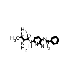 CC(C)[C@H](N)C(=O)Nc1ccc(N=Nc2ccccc2)c(N)n1